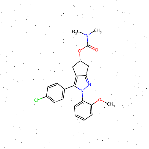 COc1ccccc1-n1nc2c(c1-c1ccc(Cl)cc1)CC(OC(=O)N(C)C)C2